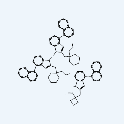 CCC1(CC2=Cc3c(-c4cccc5ccccc45)cccc3[CH]2[Zr+3])CCC1.CCCC1(CC2=Cc3c(-c4cccc5ccccc45)cccc3[CH]2[Zr+2][CH]2C(CC3(CCC)CCCCC3)=Cc3c(-c4cccc5ccccc45)cccc32)CCCCC1.[Cl-].[Cl-]